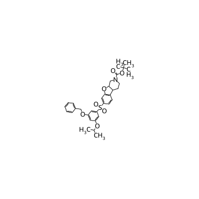 CC(C)Oc1cc(OCc2ccccc2)cc(S(=O)(=O)c2ccc3c(c2)OC2CN(C(=O)OC(C)(C)C)CCC32)c1